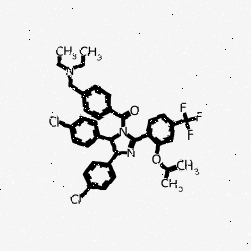 CCN(CC)Cc1ccc(C(=O)N2C(c3ccc(C(F)(F)F)cc3OC(C)C)=NC(c3ccc(Cl)cc3)C2c2ccc(Cl)cc2)cc1